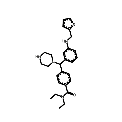 CCN(CC)C(=O)c1ccc(C(c2cccc(NCc3cccs3)c2)N2CCNCC2)cc1